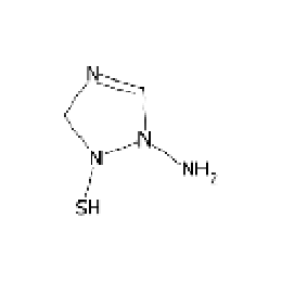 NN1C=NCN1S